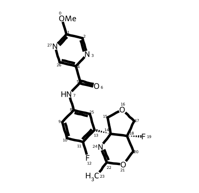 COc1cnc(C(=O)Nc2ccc(F)c([C@]34COC[C@@]3(F)COC(C)=N4)c2)cn1